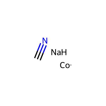 C#N.[Co].[NaH]